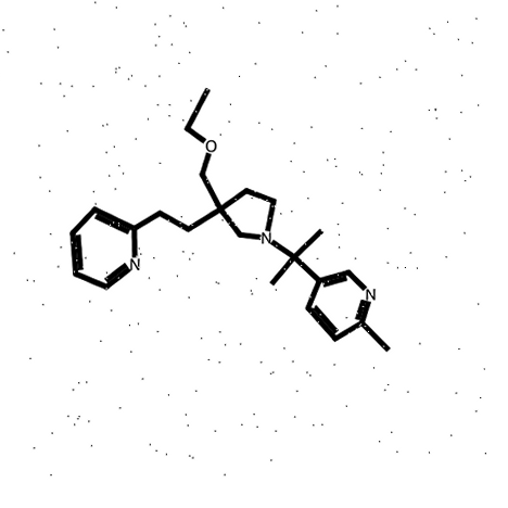 CCOCC1(CCc2ccccn2)CCN(C(C)(C)c2ccc(C)nc2)C1